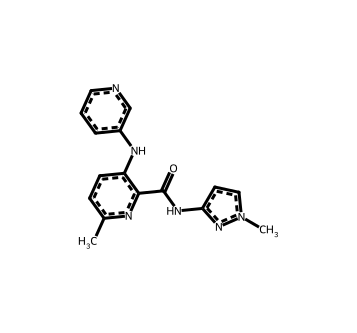 Cc1ccc(Nc2cccnc2)c(C(=O)Nc2ccn(C)n2)n1